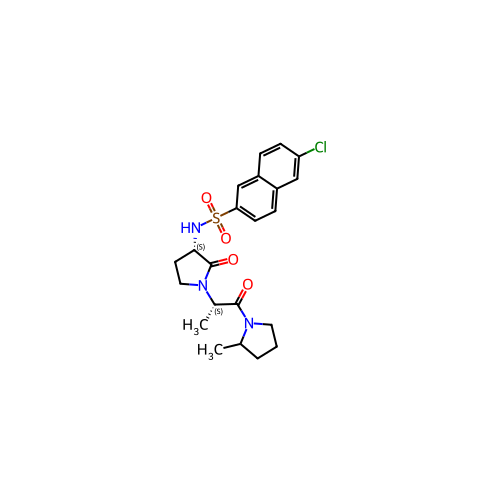 CC1CCCN1C(=O)[C@H](C)N1CC[C@H](NS(=O)(=O)c2ccc3cc(Cl)ccc3c2)C1=O